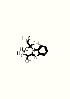 CCC(C)(C)n1c(C(C)C)nc2ccccc21